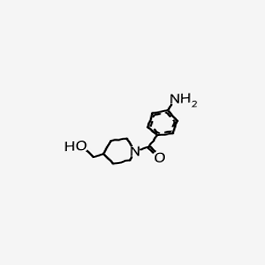 Nc1ccc(C(=O)N2CCC(CO)CC2)cc1